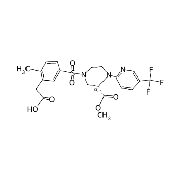 COC(=O)[C@@H]1CN(S(=O)(=O)c2ccc(C)c(CC(=O)O)c2)CCN1c1ccc(C(F)(F)F)cn1